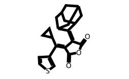 O=C1OC(=O)C(=C2C3CC4CC(C3)CC2C4)C1=C(c1ccsc1)C1CC1